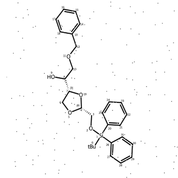 CC(C)(C)[Si](OC[C@@H]1OC[C@H](C(O)COCc2ccccc2)O1)(c1ccccc1)c1ccccc1